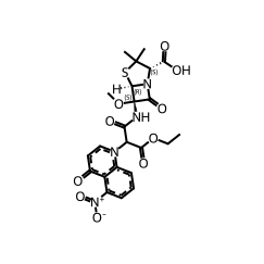 CCOC(=O)C(C(=O)N[C@]1(OC)C(=O)N2[C@@H](C(=O)O)C(C)(C)S[C@@H]21)n1ccc(=O)c2c([N+](=O)[O-])cccc21